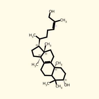 C/C(=C/CCC(C)[C@@H]1CC[C@]2(C)C3=C(CC[C@@]12C)[C@@]1(C)CC[C@H](O)C(C)(C)C1CC3)CO